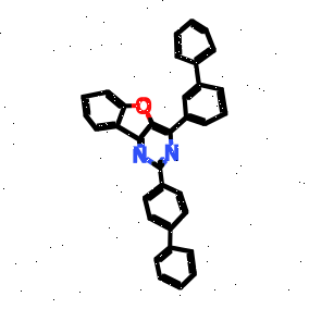 c1ccc(-c2ccc(-c3nc(-c4cccc(-c5ccccc5)c4)c4oc5ccccc5c4n3)cc2)cc1